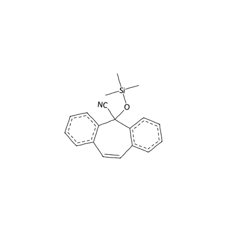 C[Si](C)(C)OC1(C#N)c2ccccc2C=Cc2ccccc21